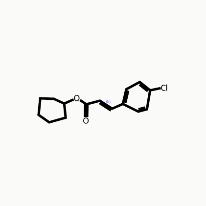 O=C(/C=C/c1ccc(Cl)cc1)OC1CCCCC1